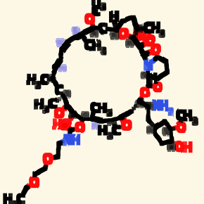 CCOCCOCCNC(=O)O[C@@H]1/C(C)=C/[C@@H](C)C(=O)C[C@@H]([C@H](N)C[C@@H]2CC[C@@H](O)[C@H](OC)C2)OC(=O)[C@@H]2CCCCN2C(=O)C(=O)[C@]2(O)O[C@@H](CC[C@H]2C)C[C@H](OC)/C(C)=C/C=C/C=C/[C@@H](C)C[C@@H](C)C(=O)[C@@H]1O